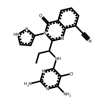 CCC(Nc1nc(N)nc(N)c1Cl)c1nc2c(C#N)cccc2c(=O)n1-c1cc[nH]n1